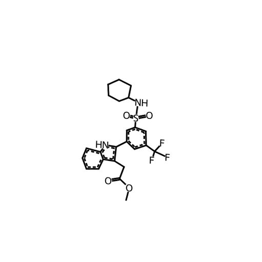 COC(=O)Cc1c(-c2cc(C(F)(F)F)cc(S(=O)(=O)NC3CCCCC3)c2)[nH]c2ccccc12